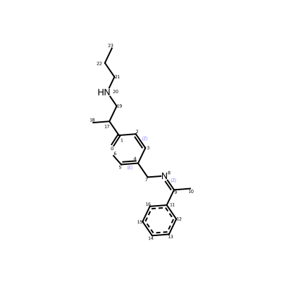 C=C(/C=C\C(=C/C)C/N=C(/C)c1ccccc1)C(C)CNCCC